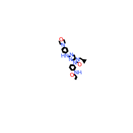 C=CC(=O)Nc1cccc(-n2c(=O)n(CC3CC3)c3cnc(Nc4ccc(N5CCOCC5)cc4)nc32)c1